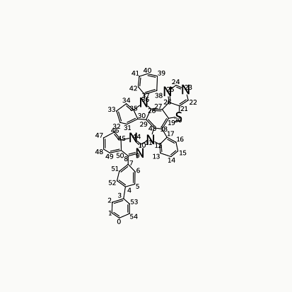 c1ccc(-c2ccc(-c3nc(-n4c5ccccc5c5c6sc7cncnc7c6c6c(c7ccccc7n6-c6ccccc6)c54)nc4ccccc34)cc2)cc1